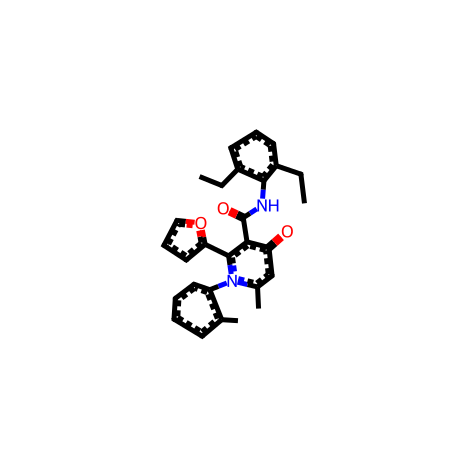 CCc1cccc(CC)c1NC(=O)c1c(-c2ccco2)n(-c2ccccc2C)c(C)cc1=O